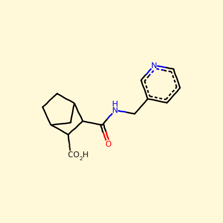 O=C(O)C1C2CCC(C2)C1C(=O)NCc1cccnc1